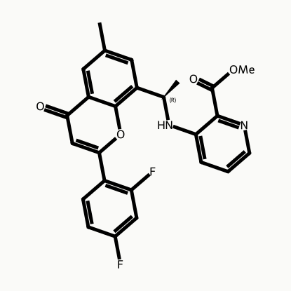 COC(=O)c1ncccc1N[C@H](C)c1cc(C)cc2c(=O)cc(-c3ccc(F)cc3F)oc12